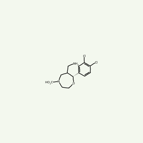 NCC1CN(C(=O)O)CCO[C@H]1c1ccc(Cl)c(Cl)c1